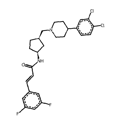 O=C(/C=C/c1cc(F)cc(F)c1)N[C@H]1CC[C@@H](CN2CCC(c3ccc(Cl)c(Cl)c3)CC2)C1